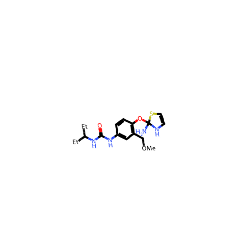 CCC(CC)NC(=O)Nc1ccc(OC2(N)NC=CS2)c(COC)c1